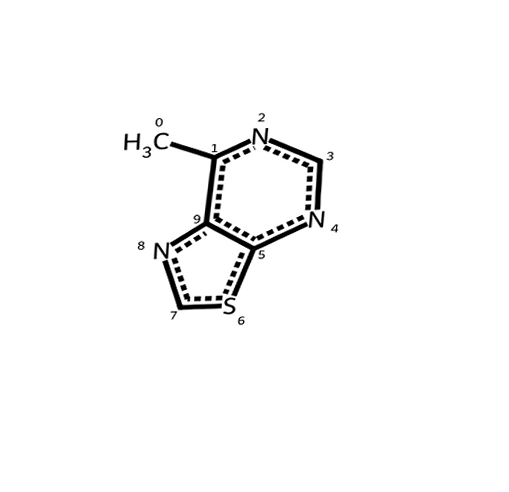 Cc1ncnc2scnc12